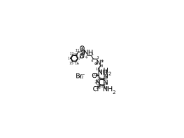 C[N+](C)(CCCCNS(=O)(=O)Cc1ccccc1)CCNC(=O)c1nc(Cl)c(N)nc1N.[Br-]